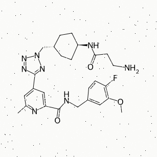 COc1cc(CNC(=O)c2cc(-c3nnn(C[C@H]4CC[C@H](NC(=O)CCN)CC4)n3)cc(C)n2)ccc1F